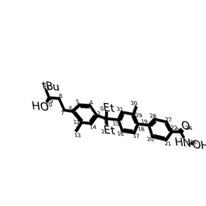 CCC(CC)(c1ccc(CCC(O)C(C)(C)C)c(C)c1)c1ccc(-c2ccc(C(=O)NO)cc2)c(C)c1